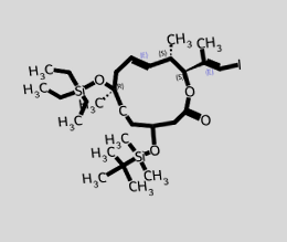 CC[Si](CC)(CC)O[C@@]1(C)C/C=C/[C@H](C)[C@@H](/C(C)=C/I)OC(=O)CC(O[Si](C)(C)C(C)(C)C)CC1